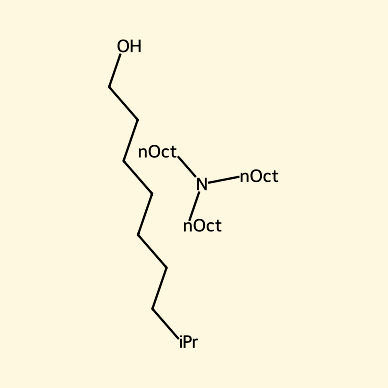 CC(C)CCCCCCCO.CCCCCCCCN(CCCCCCCC)CCCCCCCC